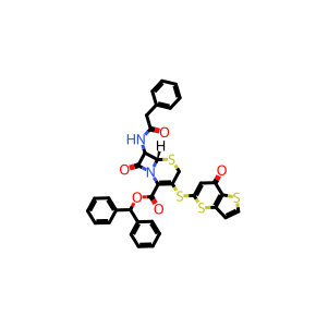 O=C(Cc1ccccc1)NC1C(=O)N2C(C(=O)OC(c3ccccc3)c3ccccc3)=C(Sc3cc(=O)c4sccc4s3)CS[C@@H]12